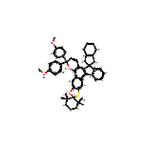 COc1ccc(C2(c3ccc(OC)cc3)C=Cc3c4c(c5cc6c(cc5c3O2)OC2(S6)C(C)(C)CCCC2(C)C)-c2ccccc2C42CC3CCCCC3C2)cc1